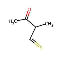 CC(=O)C(C)C=S